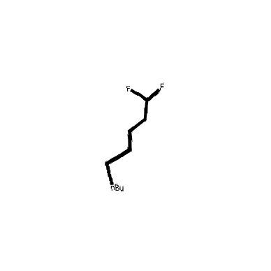 CCCCCCCCC(F)F